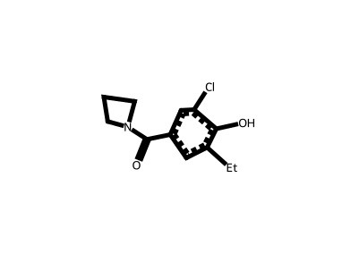 CCc1cc(C(=O)N2CCC2)cc(Cl)c1O